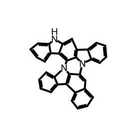 c1ccc2c(c1)cc1c3c2c2ccccc2n3c2c3c(cc4c5ccccc5n1c42)[nH]c1ccccc13